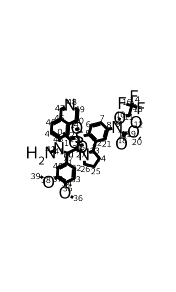 CCS(=O)(=O)c1ccc(N(OC(=O)C(F)(F)F)C(=O)OC)cc1C1CCCN1C(=O)[C@@H](c1ccc(OC)c(OC)c1)N(N)c1ccc2cnccc2c1